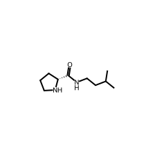 CC(C)CCNC(=O)[C@H]1CCCN1